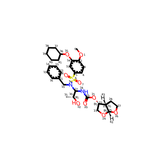 COc1ccc(S(=O)(=O)N(Cc2ccccc2)C(NC(=O)O[C@H]2CO[C@H]3OCC[C@H]32)[C@@H](C)O)cc1OC1CCCCC1